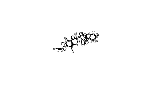 CC#COc1c(C)c(C)c2c(c1C)CCC(C)(C(=O)NS(=O)(=O)c1ccc(C)cc1)O2